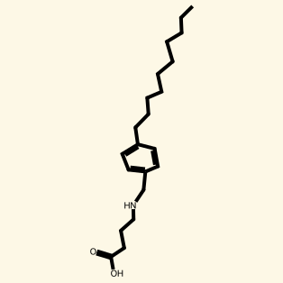 CCCCCCCCCCc1ccc(CNCCCC(=O)O)cc1